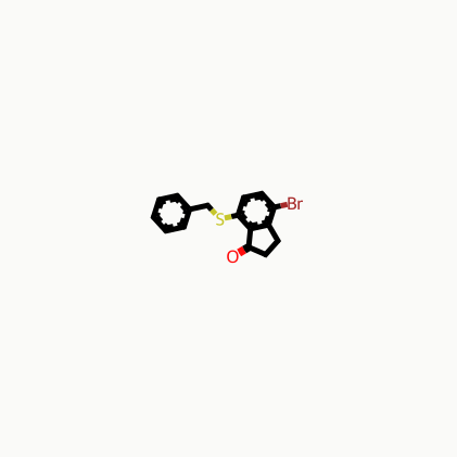 O=C1CCc2c(Br)ccc(SCc3ccccc3)c21